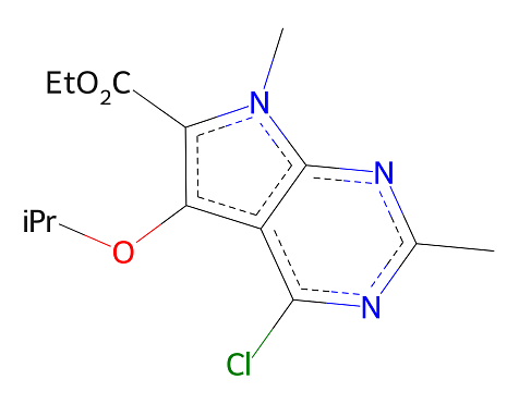 CCOC(=O)c1c(OC(C)C)c2c(Cl)nc(C)nc2n1C